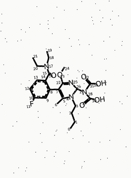 CCCCN1C(C)=C(c2cc(F)ccc2C(=O)N(CC)CC)C(OC)=NC1N(C(=O)O)C(=O)O